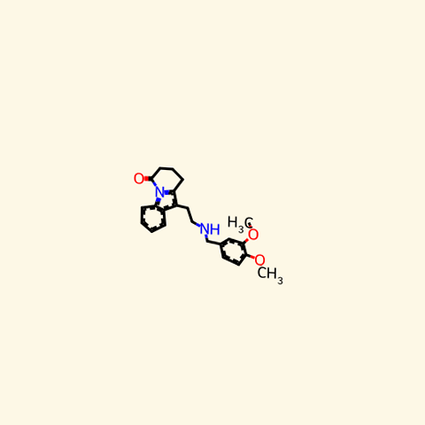 COc1ccc(CNCCc2c3n(c4ccccc24)C(=O)CCC3)cc1OC